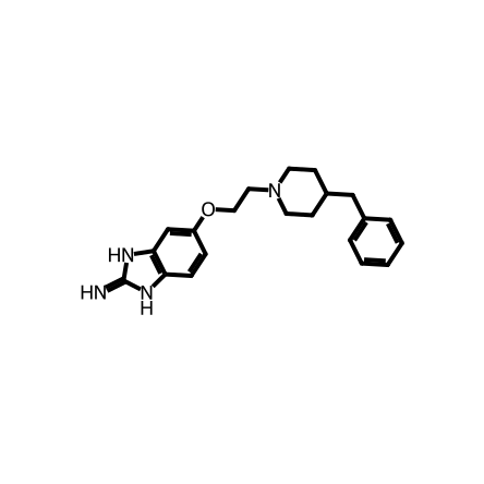 N=c1[nH]c2ccc(OCCN3CCC(Cc4ccccc4)CC3)cc2[nH]1